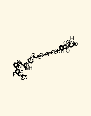 N=C/C(=C\NC1CCN(C(=O)CCOOCCOCCOCCNc2ccc3c(c2)C(=O)N(C2CCC(=O)NC2=O)C3=O)CC1)c1cnc2cccc(-c3cc(F)c(CN4CCOCC4)c(F)c3)c2n1